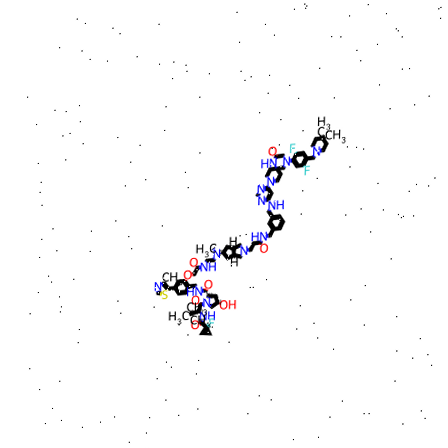 Cc1ncsc1-c1ccc(CNC(=O)[C@@H]2C[C@@H](O)CN2C(=O)[C@@H](NC(=O)C2(F)CC2)C(C)(C)C)c(OCC(=O)NCCN(C)[C@@H]2C[C@@H]3CN(CCC(=O)NCc4cccc(CNc5cc(N6CCC7(CC6)CN(c6cc(F)c(CN8CCC(C)(C)CC8)cc6F)CC(=O)N7)ncn5)c4)C[C@@H]3C2)c1